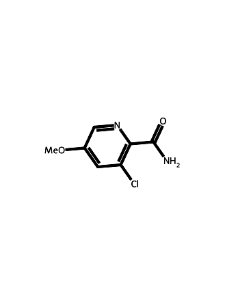 COc1cnc(C(N)=O)c(Cl)c1